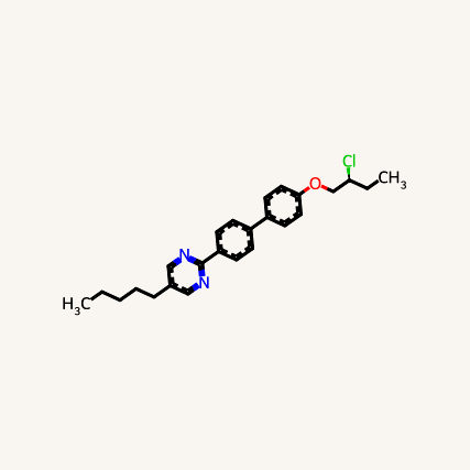 CCCCCc1cnc(-c2ccc(-c3ccc(OC[C@@H](Cl)CC)cc3)cc2)nc1